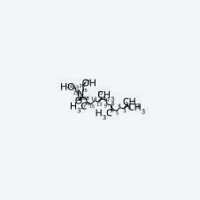 CC(C)=CCCC(C)=CCCC(C)=CCCC(C)CC(=O)N(CCO)CCO